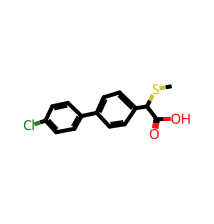 CSC(C(=O)O)c1ccc(-c2ccc(Cl)cc2)cc1